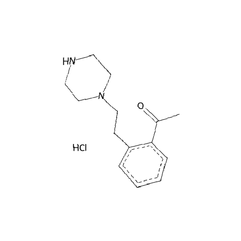 CC(=O)c1ccccc1CCN1CCNCC1.Cl